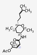 CC(=O)O[C@@H](C)/C=C\C(=O)N[C@@H]1C[C@H](C)[C@H](CCC=C(C)C)O[C@@H]1C